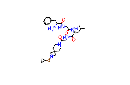 CC(C)C[C@@H](NC(=O)CNC(=O)C(N)Cc1ccccc1)C(=O)NCC(=O)N1CCC2(CC1)CN(SC1CC1)C2